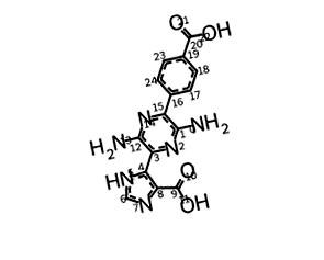 Nc1nc(-c2[nH]cnc2C(=O)O)c(N)nc1-c1ccc(C(=O)O)cc1